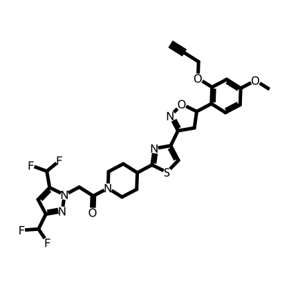 C#CCOc1cc(OC)ccc1C1CC(c2csc(C3CCN(C(=O)Cn4nc(C(F)F)cc4C(F)F)CC3)n2)=NO1